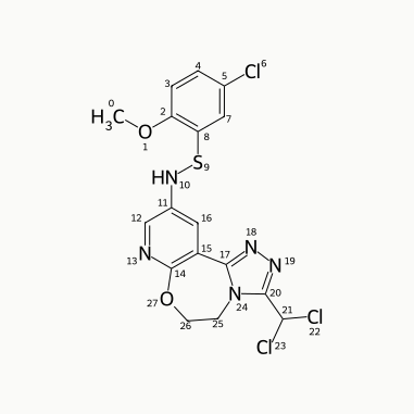 COc1ccc(Cl)cc1SNc1cnc2c(c1)-c1nnc(C(Cl)Cl)n1CCO2